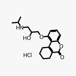 CC(C)NCC(O)COc1cccc2oc(=O)c3c(c12)CCCC3.Cl